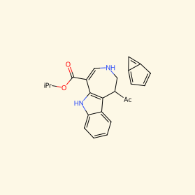 CC(=O)C1CNC=C(C(=O)OC(C)C)c2[nH]c3ccccc3c21.c1cc2cc-2c1